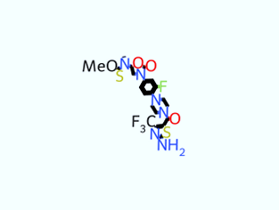 COC(=S)N(C)C1CN(c2ccc(N3CCN(C(=O)c4sc(N)nc4C(F)(F)F)CC3)c(F)c2)C(=O)O1